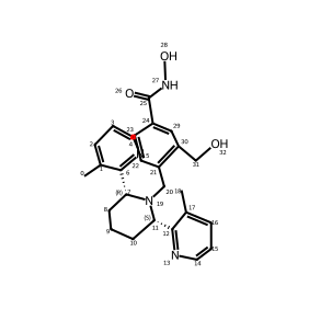 Cc1cccnc1[C@H]1CCC[C@@H](c2ncccc2C)N1Cc1ccc(C(=O)NO)cc1CO